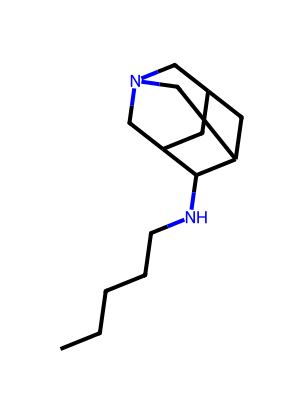 CCCCCNC1C2CC3CC1CN(C3)C2